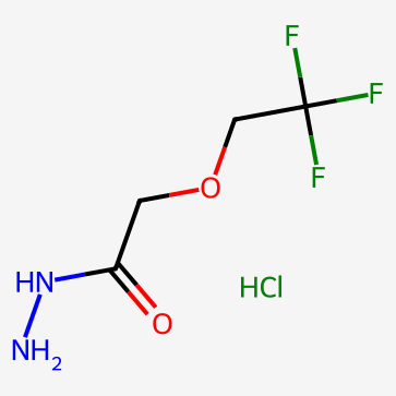 Cl.NNC(=O)COCC(F)(F)F